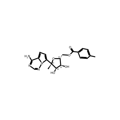 Cc1ccc(C(=O)OC[C@H]2O[C@@](C)(c3ccc4c(N)ncnn34)[C@H](O)[C@@H]2O)cc1